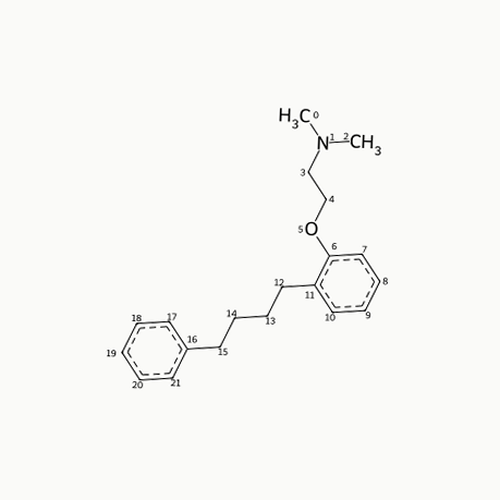 CN(C)CCOc1ccccc1CCCCc1ccccc1